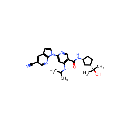 CC(C)Nc1cc(-n2ccc3cc(C#N)cnc32)ncc1C(=O)N[C@H]1CC[C@H](C(C)(C)O)C1